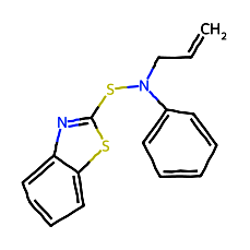 C=CCN(Sc1nc2ccccc2s1)c1ccccc1